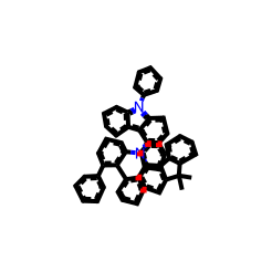 CC1(C)c2ccccc2-c2c(N(c3cccc(-c4ccccc4)c3-c3ccccc3-c3ccccc3)c3cccc4c3c3ccccc3n4-c3ccccc3)cccc21